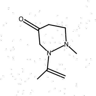 C=C(C)N1CC(=O)CCN1C